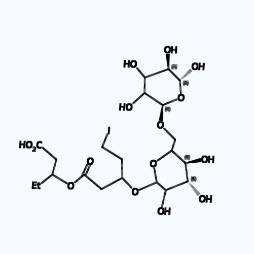 CCC(CC(=O)O)OC(=O)CC(CCI)OC1OC(CO[C@@H]2O[C@@H](O)[C@H](O)C(O)C2O)[C@@H](O)[C@H](O)C1O